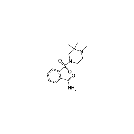 CN1CCN(S(=O)(=O)c2ccccc2C(N)=O)CC1(C)C